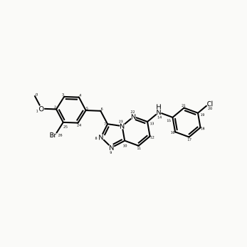 COc1ccc(Cc2nnc3ccc(Nc4cccc(Cl)c4)nn23)cc1Br